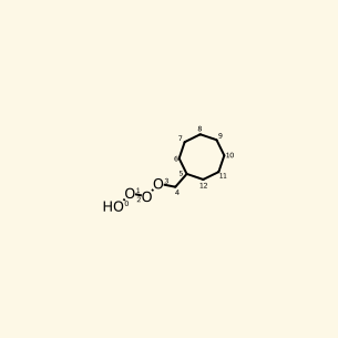 OOOOCC1CCCCCCC1